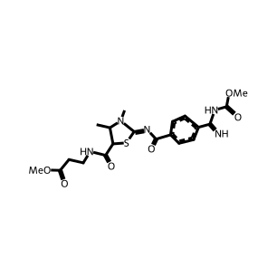 COC(=O)CCNC(=O)C1SC(=NC(=O)c2ccc(C(=N)NC(=O)OC)cc2)N(C)C1C